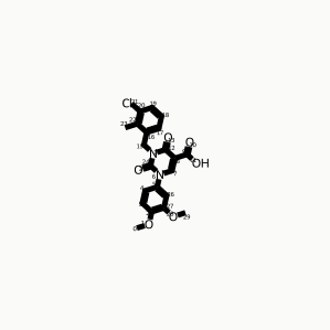 COc1ccc(-n2cc(C(=O)O)c(=O)n(Cc3cccc(Cl)c3C)c2=O)cc1OC